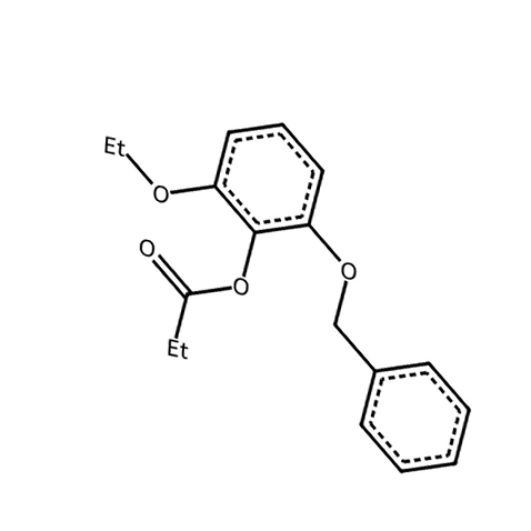 CCOc1cccc(OCc2ccccc2)c1OC(=O)CC